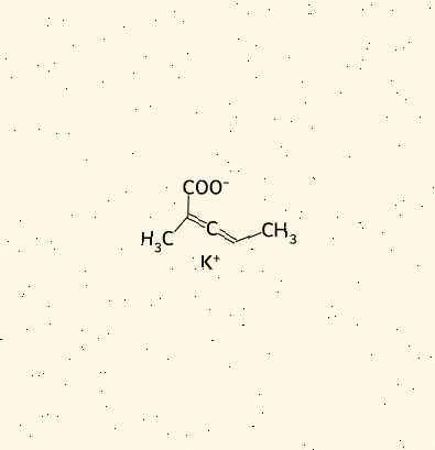 CC=C=C(C)C(=O)[O-].[K+]